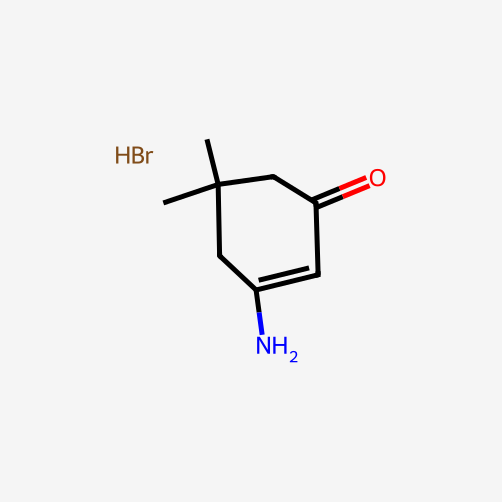 Br.CC1(C)CC(=O)C=C(N)C1